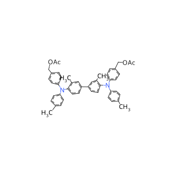 CC(=O)OCc1ccc(N(c2ccc(C)cc2)c2ccc(-c3ccc(N(c4ccc(C)cc4)c4ccc(COC(C)=O)cc4)c(C)c3)cc2C)cc1